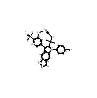 COc1cc(-c2c(C(C)(C)CC#N)n(-c3ccc(F)cc3)c3cc4cn[nH]c4cc23)cnc1P(C)(C)=O